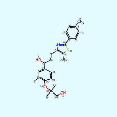 Cc1cc(C(O)CCc2nc(-c3ccc(C(F)(F)F)cc3)sc2C(C)C)ccc1OC(C)(C)CO